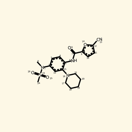 CN(c1ccc(NC(=O)c2ccc(C#N)o2)c(N2CCCCC2)c1)S(C)(=O)=O